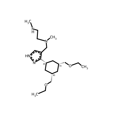 CCOC[C@@H]1C[C@H](COCC)C[C@H](c2n[nH]cc2CN(C)CCNC)C1